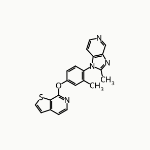 Cc1cc(Oc2nccc3ccsc23)ccc1-n1c(C)nc2cnccc21